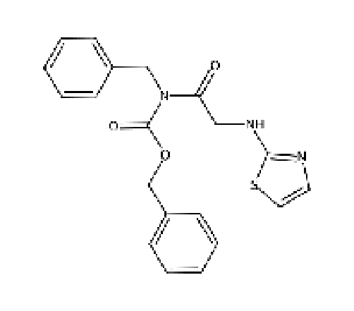 O=C(CNc1nccs1)N(Cc1ccccc1)C(=O)OCc1ccccc1